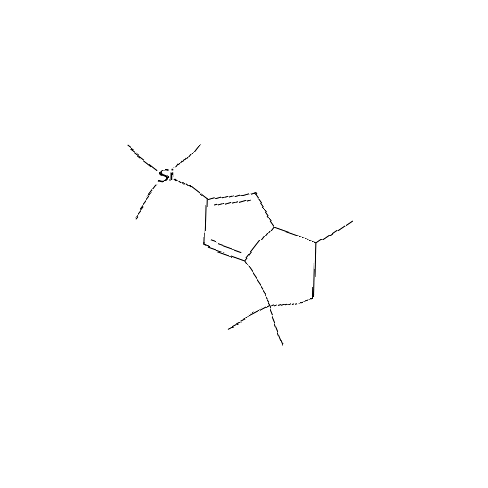 CC1CC(C)(C)C2=CC([Si](C)(C)C)=CC21